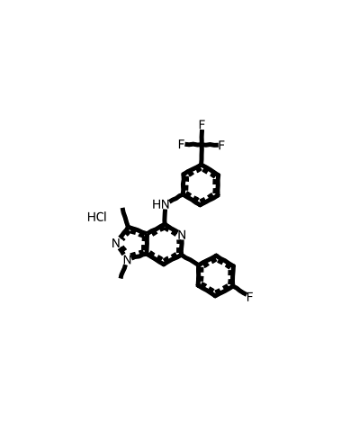 Cc1nn(C)c2cc(-c3ccc(F)cc3)nc(Nc3cccc(C(F)(F)F)c3)c12.Cl